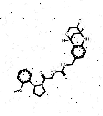 CSc1ccccc1[C@@H]1CCCN1C(=O)CNC(=O)NCc1ccc2c(c1)[C@H]1C[C@@H](N2)[C@H](O)CO1